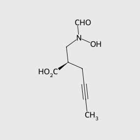 CC#CC[C@H](CN(O)C=O)C(=O)O